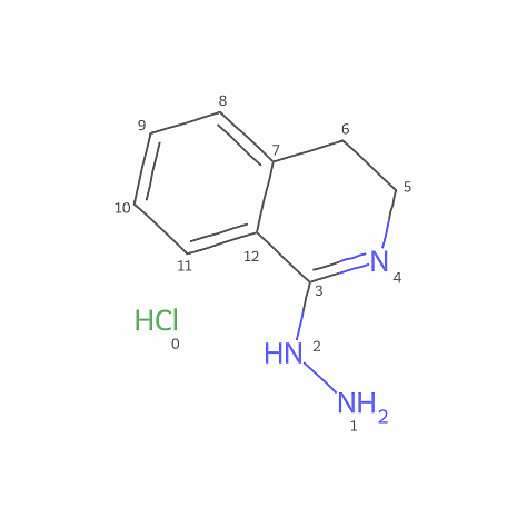 Cl.NNC1=NCCc2ccccc21